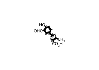 Cc1nc(-c2ccc(O)c(C=O)c2)sc1C(=O)O